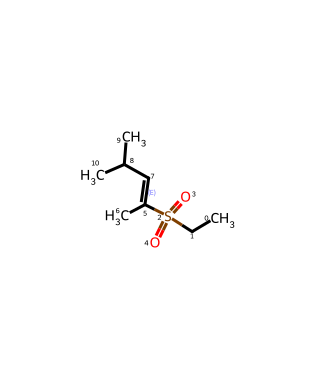 CCS(=O)(=O)/C(C)=C/C(C)C